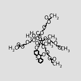 C=CC(=O)OCCOCCOC(C)OCC(COC(C)OCCOCCOC)(COC(C)OCCOCCOC(=O)C=C)N(C(=O)COc1ccc2sc3ccccc3c(=O)c2c1)C(C)OCCOCCOC(=O)C=C